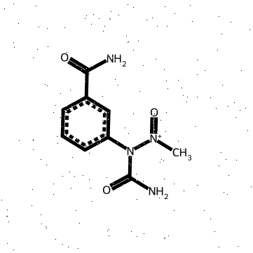 C[N+](=O)N(C(N)=O)c1cccc(C(N)=O)c1